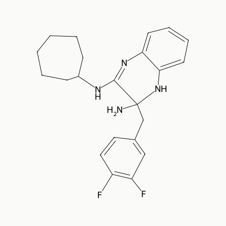 NC1(Cc2ccc(F)c(F)c2)Nc2ccccc2N=C1NC1CCCCCC1